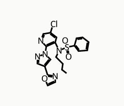 CCCCN(c1cc(Cl)cnc1-n1cc(-c2ncco2)cn1)S(=O)(=O)c1ccccc1